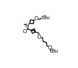 CN(C(=O)C12CC(COCCCCOC(C)(C)C)(C1)C2)C1CC(OCC(C)(C)C)C1